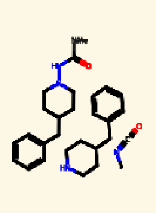 CN=C=O.CNC(=O)NN1CCC(Cc2ccccc2)CC1.c1ccc(CC2CCNCC2)cc1